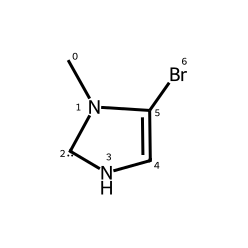 CN1[C]NC=C1Br